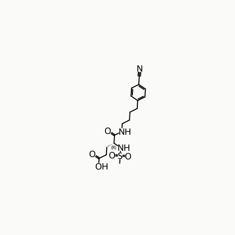 CS(=O)(=O)N[C@H](CCC(=O)O)C(=O)NCCCCc1ccc(C#N)cc1